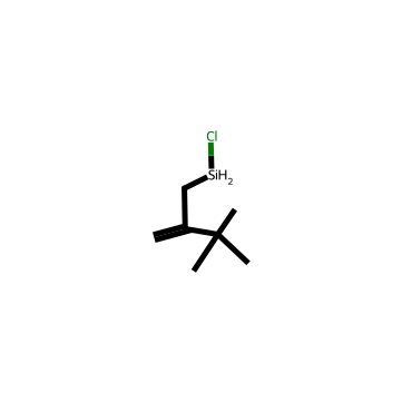 C=C(C[SiH2]Cl)C(C)(C)C